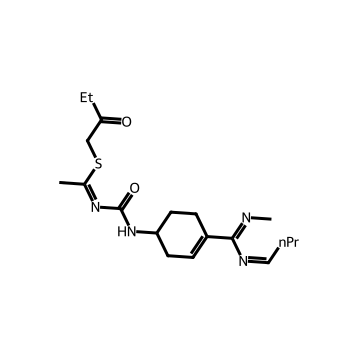 CCC/C=N\C(=N/C)C1=CCC(NC(=O)/N=C(/C)SCC(=O)CC)CC1